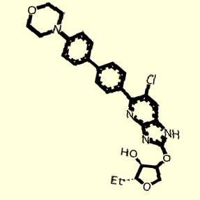 CC[C@H]1OCC(Oc2nc3nc(-c4ccc(-c5ccc(N6CCOCC6)cc5)cc4)c(Cl)cc3[nH]2)[C@@H]1O